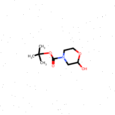 CC(C)(C)OC(=O)N1CCOC(O)C1